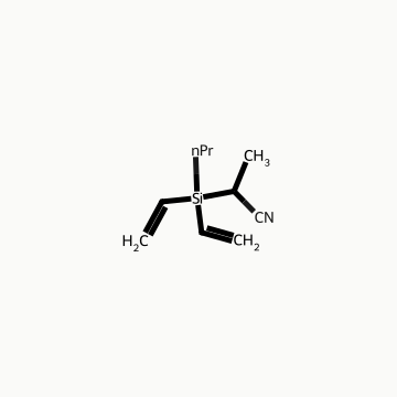 C=C[Si](C=C)(CCC)C(C)C#N